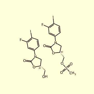 CS(=O)(=O)OC[C@H]1CN(c2ccc(I)c(F)c2)C(=O)O1.O=C1O[C@@H](CO)CN1c1ccc(I)c(F)c1